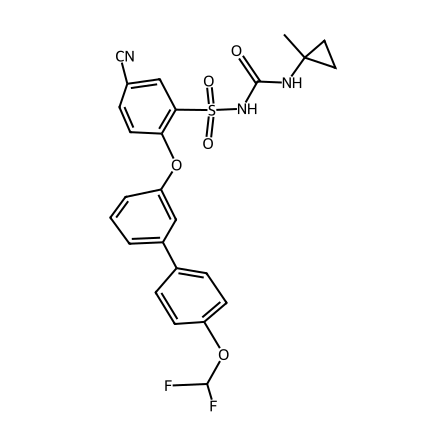 CC1(NC(=O)NS(=O)(=O)c2cc(C#N)ccc2Oc2cccc(-c3ccc(OC(F)F)cc3)c2)CC1